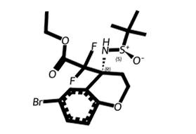 CCOC(=O)C(F)(F)[C@@]1(N[S@+]([O-])C(C)(C)C)CCOc2ccc(Br)cc21